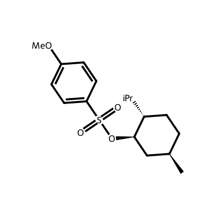 COc1ccc(S(=O)(=O)O[C@@H]2C[C@H](C)CC[C@H]2C(C)C)cc1